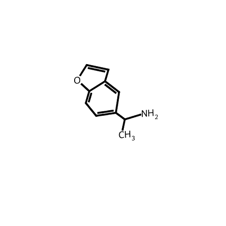 CC(N)c1ccc2occc2c1